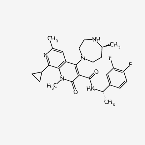 Cc1cc2c(N3CCN[C@@H](C)CC3)c(C(=O)N[C@@H](C)c3ccc(F)c(F)c3)c(=O)n(C)c2c(C2CC2)n1